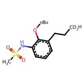 CCCCOc1c(CCC(=O)O)cccc1NS(C)(=O)=O